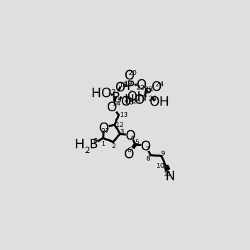 BC1CC(OC(=O)OCCC#N)C(COP(=O)(O)OP(=O)(O)OP(=O)(O)O)O1